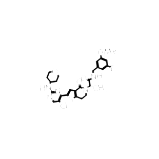 COc1cc(F)cc(CNC(=O)[C@H](C)N2CCc3sc(-c4nc(NC5CCOCC5)ncc4Cl)cc3C2=O)c1